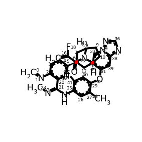 C=Nc1ccc([C@H]2C[C@H]3CC[C@@H](C2)N3C(=O)C(=C)F)nc1/C(=N\C)Nc1cc(C)c(Oc2ccn3ncnc3c2)cc1F